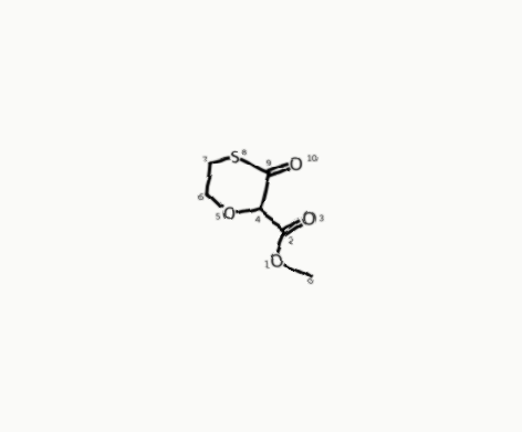 COC(=O)C1OCCSC1=O